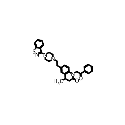 CC1CC(=O)N(CC(=O)c2ccccc2)c2ccc(CCN3CCN(c4nsc5ccccc45)CC3)cc21